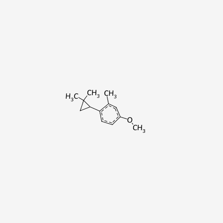 COc1ccc(C2CC2(C)C)c(C)c1